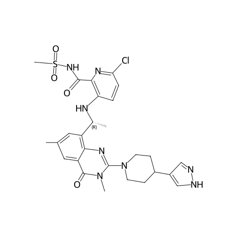 Cc1cc([C@@H](C)Nc2ccc(Cl)nc2C(=O)NS(C)(=O)=O)c2nc(N3CCC(c4cn[nH]c4)CC3)n(C)c(=O)c2c1